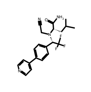 CC(C)C[C@@H](C(N)=O)N(CC#N)[C@@H](c1ccc(-c2ccncc2)cc1)C(F)(F)F